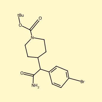 CC(C)(C)OC(=O)N1CCC(C(C(N)=O)c2ccc(Br)cc2)CC1